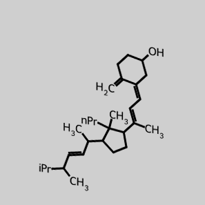 C=C1CCC(O)C/C1=C/C=C(\C)C1CCC(C(C)/C=C/C(C)C(C)C)C1(C)CCC